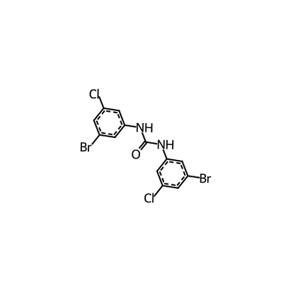 O=C(Nc1cc(Cl)cc(Br)c1)Nc1cc(Cl)cc(Br)c1